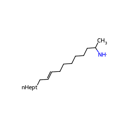 CCCCCCCCC=CCCCCCCC(C)[NH]